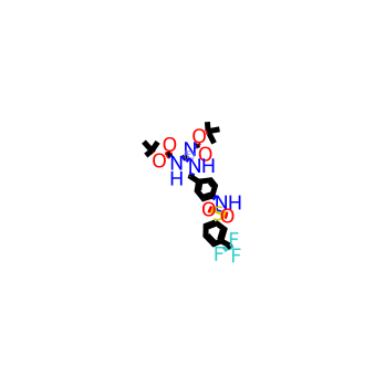 CC(C)(C)OC(=O)/N=C(\NCc1ccc(NS(=O)(=O)c2cccc(C(F)(F)F)c2)cc1)NC(=O)OC(C)(C)C